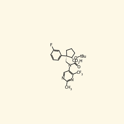 Cc1ncc(N(C[C@]2(c3cccc(F)c3)CCC[C@@H]2C(=O)O)C(=O)OC(C)(C)C)c(C(F)(F)F)n1